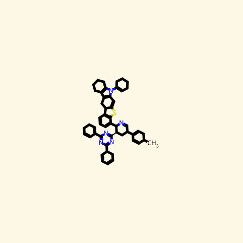 CC1C=CC(C2C=NC(c3cccc4c3SC3=Cc5c(c6c(n5C5=CCCCC5)CCCC6)CC34)[C@H](c3nc(C4=CCCC=C4)nc(C4C=CC=CC4)n3)C2)=CC1